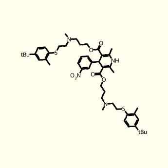 CC1=C(C(=O)OCCCN(C)CCSc2ccc(C(C)(C)C)cc2C)C(c2cccc([N+](=O)[O-])c2)C(C(=O)OCCCN(C)CCSc2ccc(C(C)(C)C)cc2C)=C(C)N1